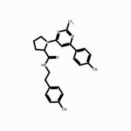 N#Cc1ccc(CCNC(=O)C2CCCN2c2cc(-c3ccc(C#N)cc3)nc(C(F)(F)F)n2)cc1